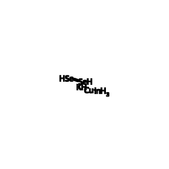 [Cu].[InH3].[KH].[SeH][SeH]